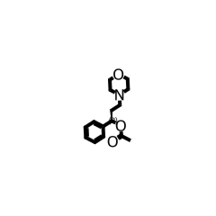 CC(=O)O[C@H](CCN1CCOCC1)c1ccccc1